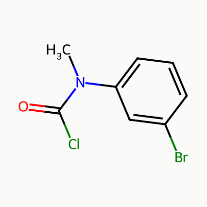 CN(C(=O)Cl)c1cccc(Br)c1